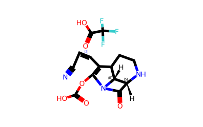 N#C/C=C\C1=C(OC(=O)O)N2C(=O)[C@H]3NCCC1[C@H]32.O=C(O)C(F)(F)F